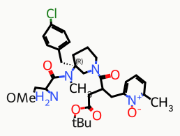 COCC(N)C(=O)N(C)[C@@]1(Cc2ccc(Cl)cc2)CCCN(C(=O)C(CC(=O)OC(C)(C)C)Cc2cccc(C)[n+]2[O-])C1